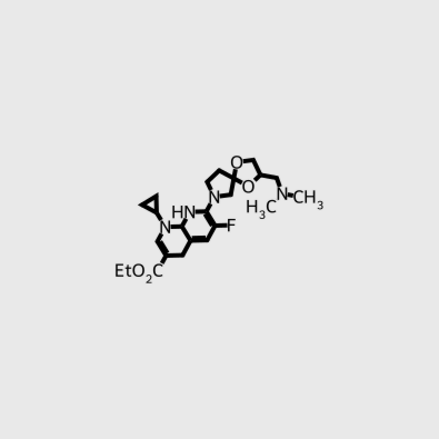 CCOC(=O)C1=CN(C2CC2)C2NC(N3CCC4(C3)OCC(CN(C)C)O4)=C(F)C=C2C1